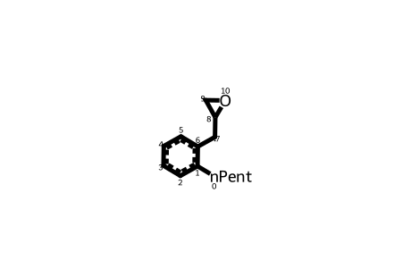 CCCCCc1ccccc1[CH]C1CO1